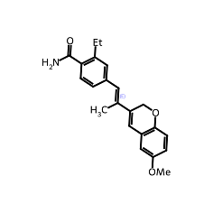 CCc1cc(/C=C(\C)C2=Cc3cc(OC)ccc3OC2)ccc1C(N)=O